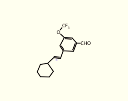 O=Cc1cc(/C=C/C2CCCCC2)cc(OC(F)(F)F)c1